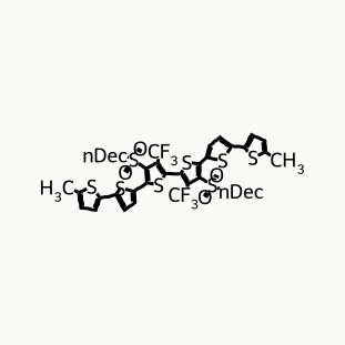 CCCCCCCCCCS(=O)(=O)c1c(-c2ccc(-c3ccc(C)s3)s2)sc(-c2sc(-c3ccc(-c4ccc(C)s4)s3)c(S(=O)(=O)CCCCCCCCCC)c2C(F)(F)F)c1C(F)(F)F